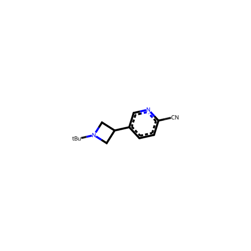 CC(C)(C)N1CC(c2ccc(C#N)nc2)C1